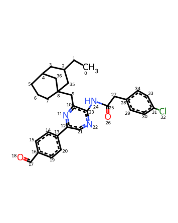 CCC1CC2CCCC(Cc3nc(-c4ccc(C=O)cc4)cnc3NC(=O)Cc3ccc(Cl)cc3)(C1)C2